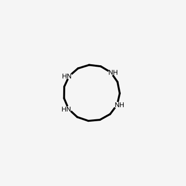 C1CCNCCNCCCNCCNC1